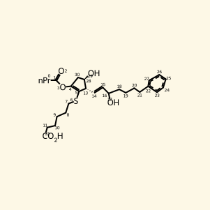 CCCC(=O)OC1=C(SCCCCCC(=O)O)[C@@H](/C=C/C(O)CCCCc2ccccc2)[C@H](O)C1